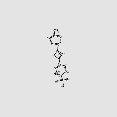 Cc1ccc(C23CC(C4=CNC(C(F)(F)F)C=C4)(C2)C3)cc1